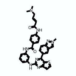 CN(C)C/C=C/C(=O)Nc1ccc(C(=O)Nc2cccc(Nc3nc(-c4ccc5nn(C)cc5c4)c4sccc4n3)c2)cc1